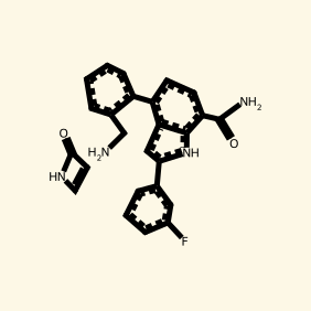 NCc1ccccc1-c1ccc(C(N)=O)c2[nH]c(-c3cccc(F)c3)cc12.O=C1C=CN1